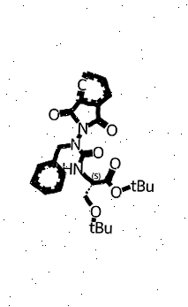 CC(C)(C)OC[C@H](NC(=O)N(Cc1ccccc1)N1C(=O)c2ccccc2C1=O)C(=O)OC(C)(C)C